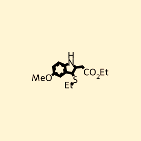 CCOC(=O)CC1Nc2ccc(OC)cc2C1SCC